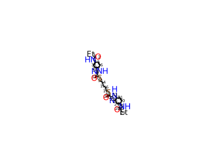 CCC(=O)Nc1ccc2[nH]c(C(=O)SCCCCCSC(=O)c3nc4cc(NC(=O)CC)ccc4[nH]3)nc2c1